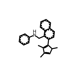 CC1=CC(C)C(c2ccc3ccccc3c2CNc2ccccc2)=C1C